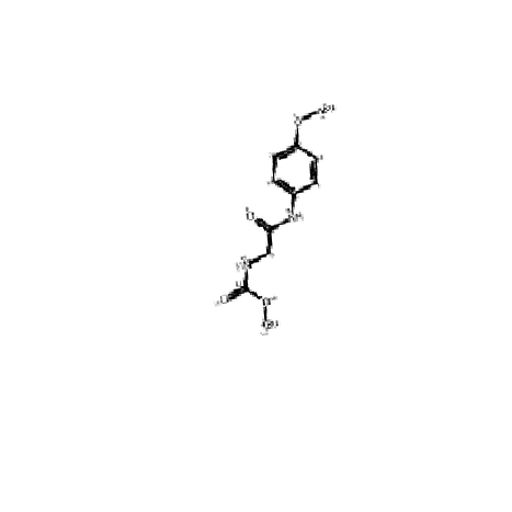 CCCCOc1ccc(NC(=O)CNC(=O)OC(C)(C)C)cc1